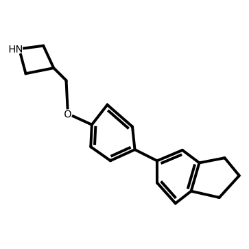 c1cc(-c2ccc3c(c2)CCC3)ccc1OCC1CNC1